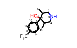 CC1CNCC(C)C1(O)c1ccc(C(F)(F)F)cc1